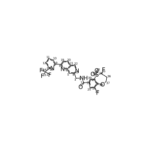 O=C(NCc1cc2nc(-c3cccc(C(F)(F)F)n3)ccc2cn1)c1cc(F)c2c(c1)S(=O)(=O)[C@@H](F)CCO2